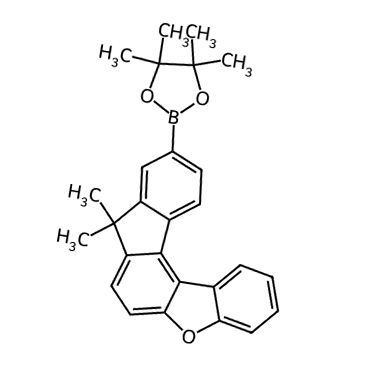 CC1(C)c2cc(B3OC(C)(C)C(C)(C)O3)ccc2-c2c1ccc1oc3ccccc3c21